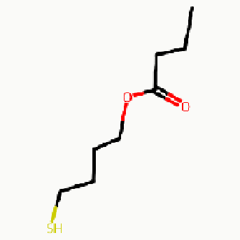 CCCC(=O)OCCCCS